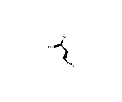 C/C=C/C(O)=[SiH2]